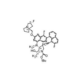 C#Cc1c(F)ccc2cccc(-c3ncc4c(N(C)[C@@H]5CCN(C(=O)OC(C)(C)C)[C@@H]5[C@H](C)O)nc(OC[C@@]56CCCN5C[C@H](F)C6)nc4c3F)c12